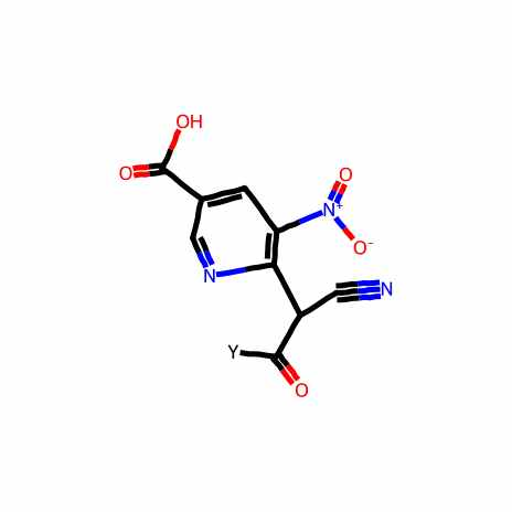 N#CC([C](=O)[Y])c1ncc(C(=O)O)cc1[N+](=O)[O-]